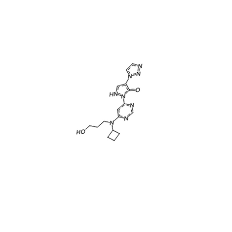 O=c1c(-n2ccnn2)c[nH]n1-c1cc(N(CCCO)C2CCC2)ncn1